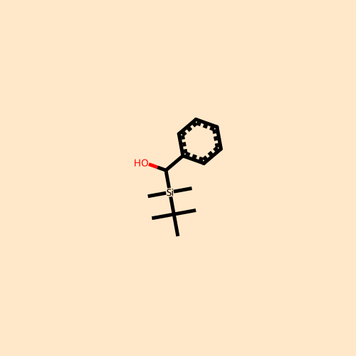 CC(C)(C)[Si](C)(C)C(O)c1ccccc1